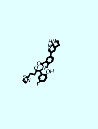 O=C(CCc1nccs1)C(c1cc(F)ccc1O)N1Cc2ccc(-c3cnc4[nH]ccc4c3)cc2C1=O